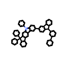 c1ccc(-c2cccc(C3c4ccccc4-c4cc(-c5ccc6c(c5)c5cc7c(cc5n6-c5ccccc5)C(c5ccccc5)(c5ccccc5)c5ccccc5-7)ccc43)c2)cc1